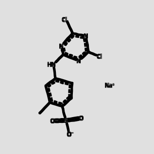 Cc1cc(Nc2nc(Cl)nc(Cl)n2)ccc1S(=O)(=O)[O-].[Na+]